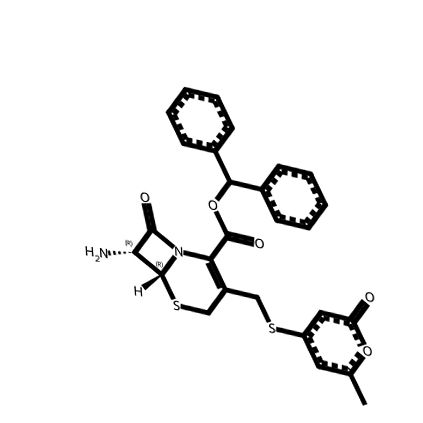 Cc1cc(SCC2=C(C(=O)OC(c3ccccc3)c3ccccc3)N3C(=O)[C@@H](N)[C@H]3SC2)cc(=O)o1